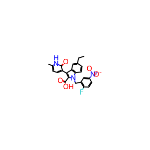 CCc1ccc2c(c1)c(-c1ccc(C)[nH]c1=O)c(C(=O)O)n2Cc1cc([N+](=O)[O-])ccc1F